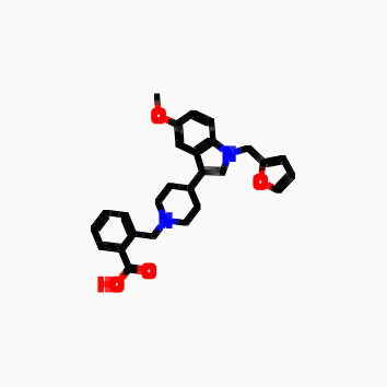 COc1ccc2c(c1)c(C1CCN(Cc3ccccc3C(=O)O)CC1)cn2Cc1ccco1